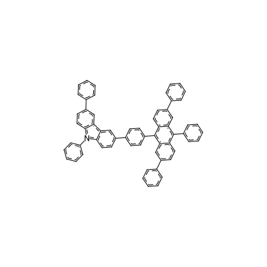 c1ccc(-c2ccc3c(-c4ccc(-c5ccc6c(c5)c5cc(-c7ccccc7)ccc5n6-c5ccccc5)cc4)c4cc(-c5ccccc5)ccc4c(-c4ccccc4)c3c2)cc1